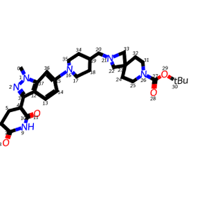 Cn1nc(C2CCC(=O)NC2=O)c2ccc(N3CCC(CN4CC5(CCN(C(=O)OC(C)(C)C)CC5)C4)CC3)cc21